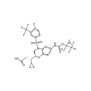 CC(C)(OC(=O)Nc1ccc2c(c1)N(S(=O)(=O)c1ccc(F)c(C(F)(F)F)c1)C[C@H]([C@@H](CC(=O)O)C1CC1)O2)C(F)(F)F